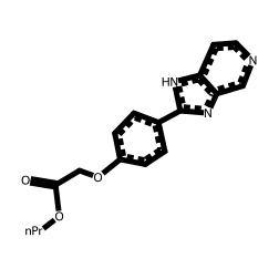 CCCOC(=O)COc1ccc(-c2nc3cnccc3[nH]2)cc1